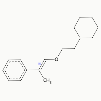 C/C(=C\OCCC1CCCCC1)c1ccccc1